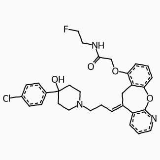 O=C(COc1cccc2c1CC(=CCCN1CCC(O)(c3ccc(Cl)cc3)CC1)c1cccnc1O2)NCCF